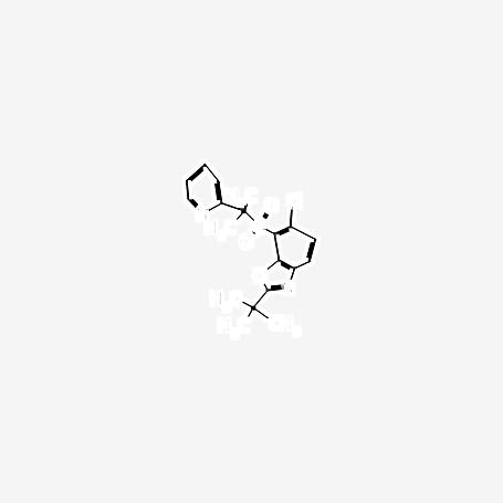 CC(C)(C)c1nc2ccc(Cl)c(S(=O)(=O)C(C)(C)c3ccccn3)c2o1